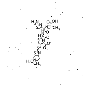 C[C@H](O/N=C(\C(=O)NC1C(=O)N2C(C(=O)[O-])=C(CSc3nc4c(s3)C[N+](C)(C)CC4)CS[C@@H]12)c1csc(N)n1)C(=O)O